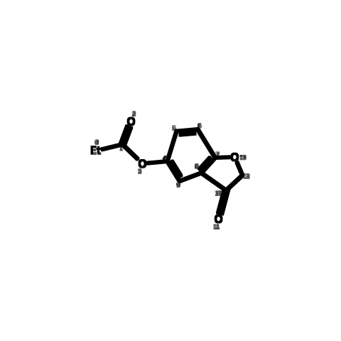 CCC(=O)Oc1ccc2c(c1)C(=O)CO2